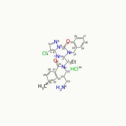 CCC(c1nc2c(Cl)cnn2c(=O)n1Cc1ccccc1)N(CCCN)C(=O)c1ccc(C)cc1.Cl